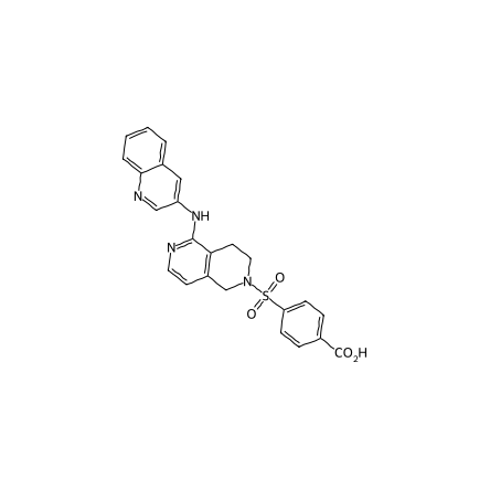 O=C(O)c1ccc(S(=O)(=O)N2CCc3c(ccnc3Nc3cnc4ccccc4c3)C2)cc1